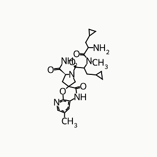 Cc1cnc2c(c1)NC(=O)C1(C[C@@H](C(N)=O)N(C(=O)C(CC3CC3)N(C)C(=O)C(N)CC3CC3)C1)O2